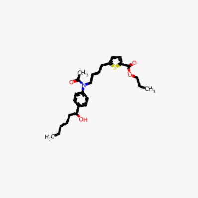 CCCCCC(O)c1ccc(N(CCCCc2ccc(C(=O)OCCC)s2)C(C)=O)cc1